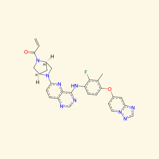 C=CC(=O)N1C[C@H]2C[C@@H]1CN2c1ccc2ncnc(Nc3ccc(Oc4ccn5ncnc5c4)c(C)c3F)c2n1